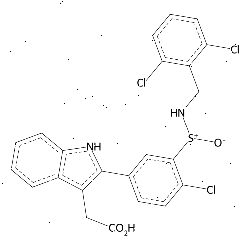 O=C(O)Cc1c(-c2ccc(Cl)c([S+]([O-])NCc3c(Cl)cccc3Cl)c2)[nH]c2ccccc12